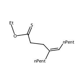 CCCCC/C=C(/CCCCC)CCC(=S)OCC